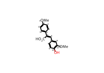 COc1ccc(C(=Cc2ccc(O)c(OC)c2)C(=O)O)cc1